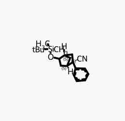 CC(C)(C)[Si](C)(C)OC1C[C@@H]2C[C@H]1C[C@@]2(C#N)c1ccccc1